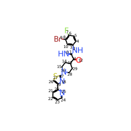 N=C(Nc1ccc(F)c(Br)c1)C(=O)C1CCN(c2nc(-c3ccccn3)cs2)CC1